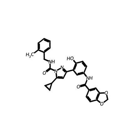 Cc1ccccc1CNC(=O)n1nc(-c2cc(NC(=O)c3ccc4c(c3)OCO4)ccc2O)cc1C1CC1